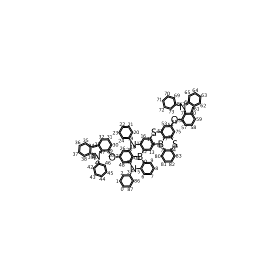 c1ccc(N2c3ccccc3B3c4cc5c(cc4N(c4ccccc4)c4cc(Oc6cccc7c8ccccc8n(-c8ccccc8)c67)cc2c43)Sc2cc(Oc3cccc4c6ccccc6n(-c6ccccc6)c34)cc3c2B5c2ccccc2S3)cc1